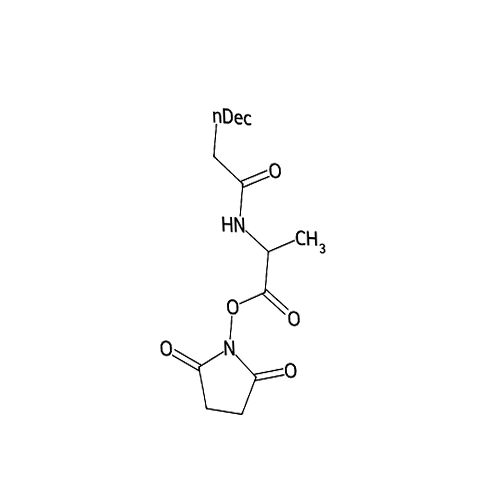 CCCCCCCCCCCC(=O)NC(C)C(=O)ON1C(=O)CCC1=O